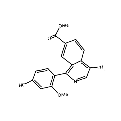 COC(=O)c1ccc2c(C)cnc(-c3ccc(C#N)cc3OC)c2c1